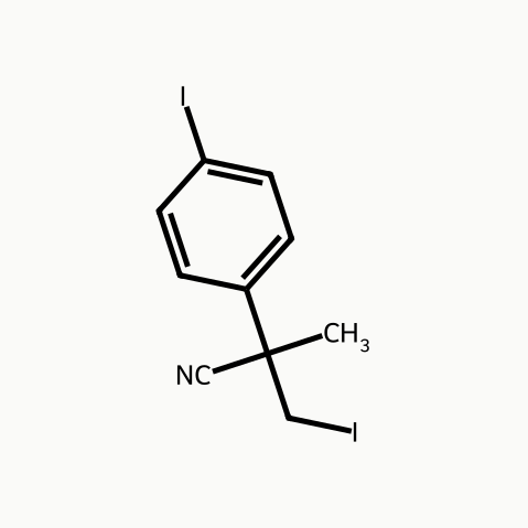 CC(C#N)(CI)c1ccc(I)cc1